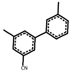 Cc1cccc(-c2cc(C)cc(C#N)c2)c1